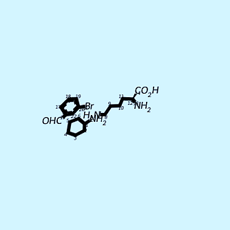 NC1CCCCC1.NCCCC[C@H](N)C(=O)O.O=Cc1cccc(Br)c1